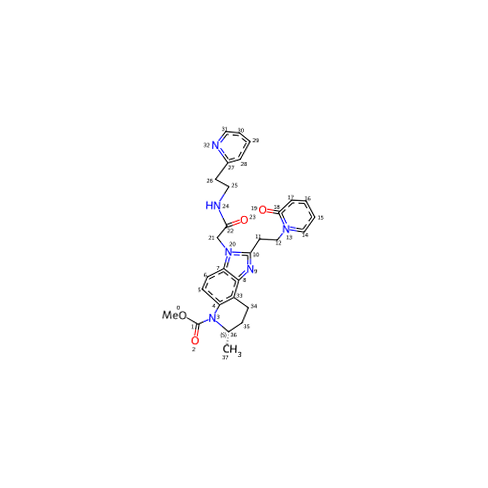 COC(=O)N1c2ccc3c(nc(CCn4ccccc4=O)n3CC(=O)NCCc3ccccn3)c2CC[C@@H]1C